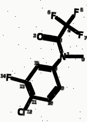 CN(C(=O)C(F)(F)F)c1ccc(Cl)c(F)c1